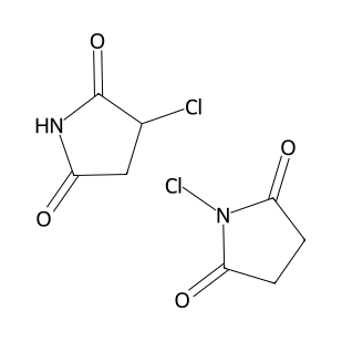 O=C1CC(Cl)C(=O)N1.O=C1CCC(=O)N1Cl